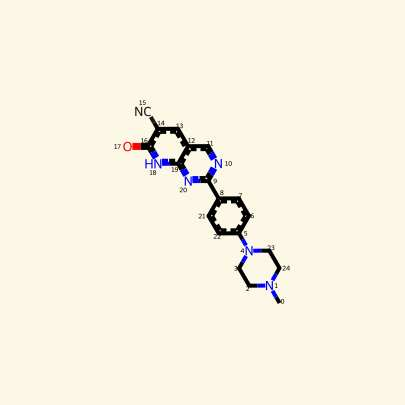 CN1CCN(c2ccc(-c3ncc4cc(C#N)c(=O)[nH]c4n3)cc2)CC1